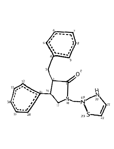 O=C1C(Cc2ccccc2)C(c2ccccc2)CN1N1NC=CS1